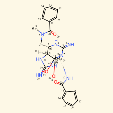 CC(=O)N(C[C@@H]1NC(=N)N2C[C@H](NC(=O)c3ccccc3)C(O)(O)[C@@]23NC(=N)N[C@@H]13)C(=O)c1ccccc1